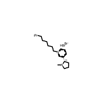 Br.CC(C)CCCCCC[n+]1cccc([C@@H]2CCCN2C)c1.[Br-]